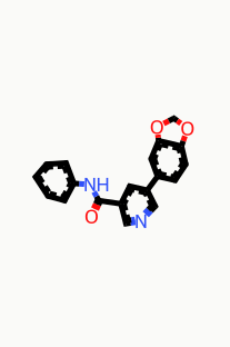 O=C(Nc1ccccc1)c1cncc(-c2ccc3c(c2)OCO3)c1